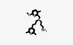 COc1ccc(C)c(CN(CCCN)CCCc2cc(C)nc(C)c2)n1